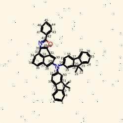 CC1(C)c2ccccc2-c2ccc(N(c3ccc4c(c3)C(C)(C)c3ccccc3-4)c3cc4c5c(cccc5c3)-c3nc(-c5ccccc5)oc3-4)cc21